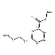 CNCCC[C@@H]1CN(C(=O)COC)CCO1